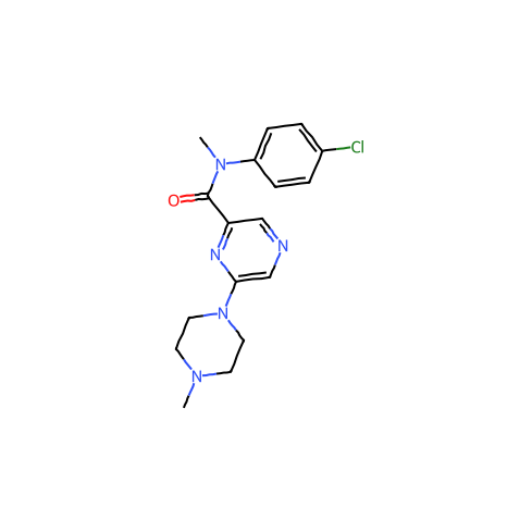 CN1CCN(c2cncc(C(=O)N(C)c3ccc(Cl)cc3)n2)CC1